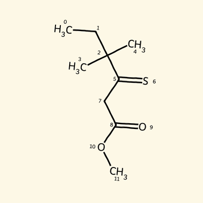 CCC(C)(C)C(=S)CC(=O)OC